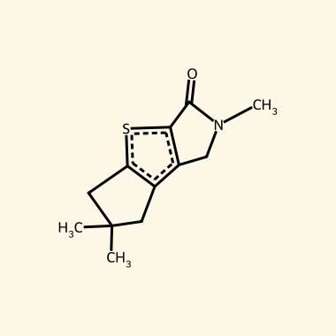 CN1Cc2c(sc3c2CC(C)(C)C3)C1=O